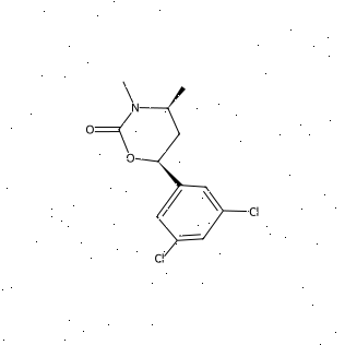 C[C@H]1C[C@@H](c2cc(Cl)cc(Cl)c2)OC(=O)N1C